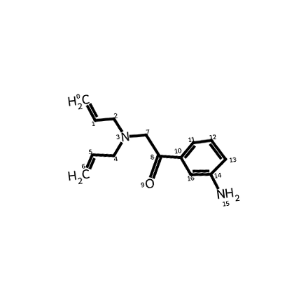 C=CCN(CC=C)CC(=O)c1cccc(N)c1